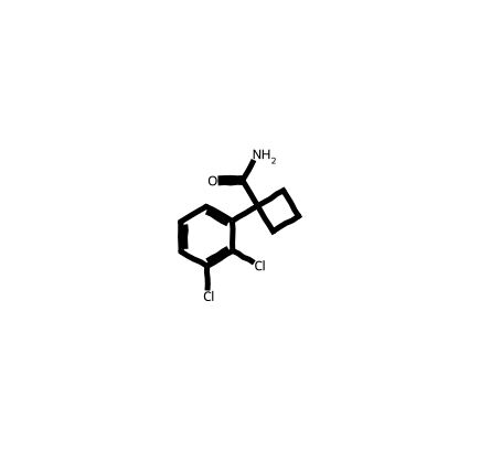 NC(=O)C1(c2cccc(Cl)c2Cl)CCC1